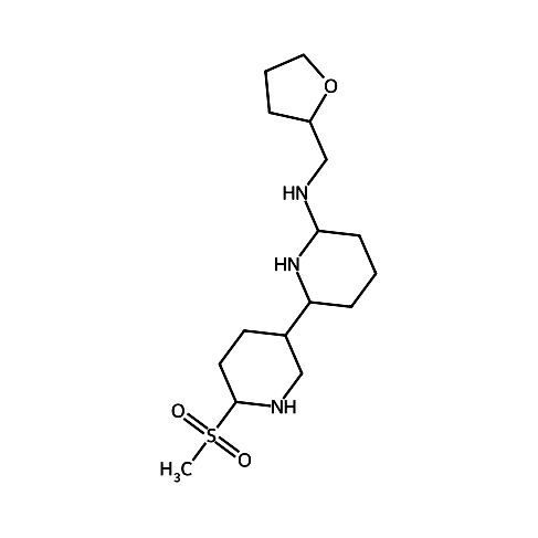 CS(=O)(=O)C1CCC(C2CCCC(NCC3CCCO3)N2)CN1